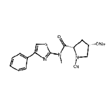 CO[C@H]1C[C@@H](C(=O)N(C)c2nc(-c3ccccc3)cs2)N(C#N)C1